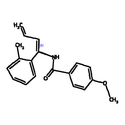 C=C/C=C(/NC(=O)c1ccc(OC)cc1)c1ccccc1C